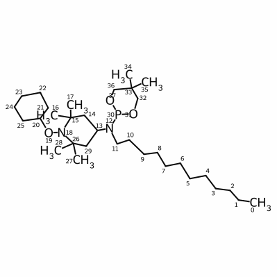 CCCCCCCCCCCCN(C1CC(C)(C)N(OC2CCCCC2)C(C)(C)C1)P1OCC(C)(C)CO1